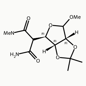 CNC(=O)C(C(N)=O)[C@H]1OC(OC)[C@@H]2OC(C)(C)O[C@H]12